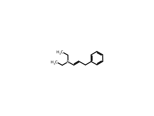 CCN(C=CCc1ccccc1)CC